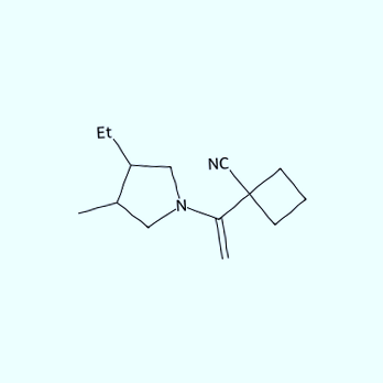 C=C(N1CC(C)C(CC)C1)C1(C#N)CCC1